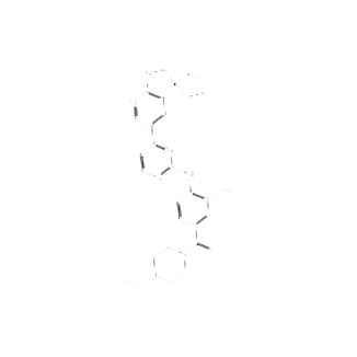 CCC1(CCO)CNc2ncc(-c3ccnc(Nc4ccc(C(=O)N5CCC(OC)CC5)cc4OC)n3)cc21